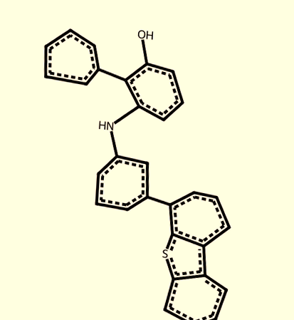 Oc1cccc(Nc2cccc(-c3cccc4c3sc3ccccc34)c2)c1-c1ccccc1